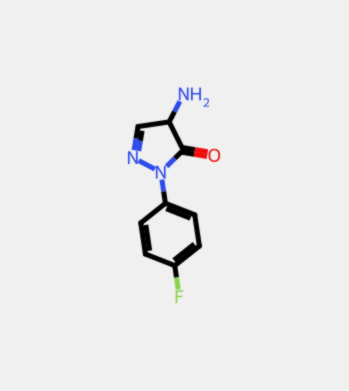 NC1C=NN(c2ccc(F)cc2)C1=O